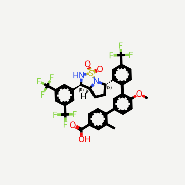 COc1ccc(-c2ccc(C(=O)O)cc2C)cc1-c1ccc(C(F)(F)F)cc1[C@@H]1CC[C@H]2[C@@H](c3cc(C(F)(F)F)cc(C(F)(F)F)c3)NS(=O)(=O)N12